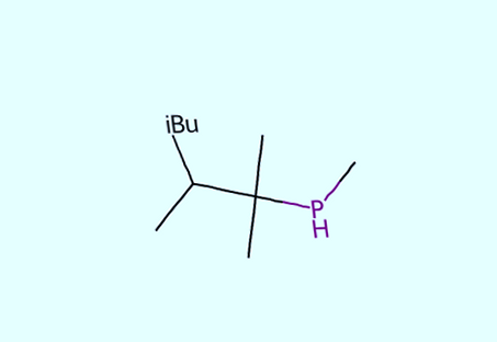 CCC(C)C(C)C(C)(C)PC